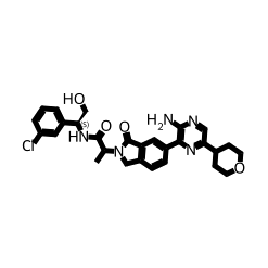 CC(C(=O)N[C@H](CO)c1cccc(Cl)c1)N1Cc2ccc(-c3nc(C4CCOCC4)cnc3N)cc2C1=O